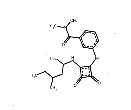 CCC(C)CC(C)Nc1c(Nc2cccc(C(=O)N(C)C)c2)c(=O)c1=O